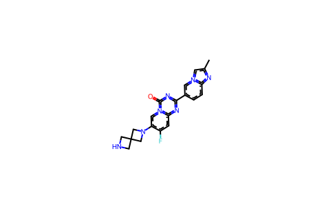 Cc1cn2cc(-c3nc(=O)n4cc(N5CC6(CNC6)C5)c(F)cc4n3)ccc2n1